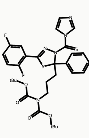 CC(C)(C)OC(=O)N(CCCC1(c2ccccc2)SC(c2cc(F)ccc2F)=NN1C(=S)n1ccnc1)C(=O)OC(C)(C)C